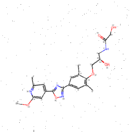 Cc1cc(-c2nc(-c3cc(C)c(OC[C@H](O)CNC(=O)CO)c(C)c3)no2)cc(OC(C)C)n1